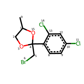 CC1COC(CBr)(c2ccc(Cl)cc2Cl)O1